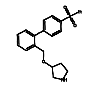 CCS(=O)(=O)c1ccc(-c2ccccc2COC2CCNC2)cc1